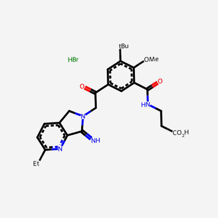 Br.CCc1ccc2c(n1)C(=N)N(CC(=O)c1cc(C(=O)NCCC(=O)O)c(OC)c(C(C)(C)C)c1)C2